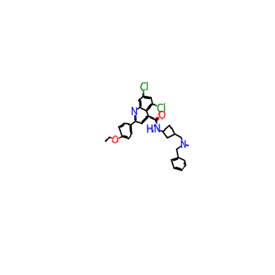 CCOc1ccc(-c2cc(C(=O)NC3CC(CN(C)Cc4ccccc4)C3)c3c(Cl)cc(Cl)cc3n2)cc1